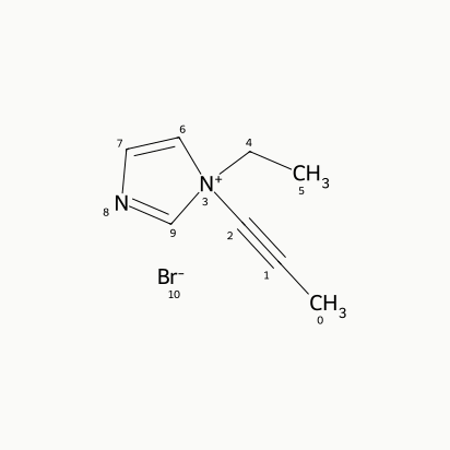 CC#C[N+]1(CC)C=CN=C1.[Br-]